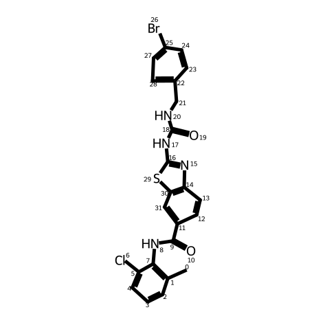 Cc1cccc(Cl)c1NC(=O)c1ccc2nc(NC(=O)NCc3ccc(Br)cc3)sc2c1